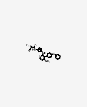 C=C(C#N)C(=O)NC12CCC(Nc3ncnc(N)c3-c3ccc(Oc4ccccc4)cc3)(C1)C2